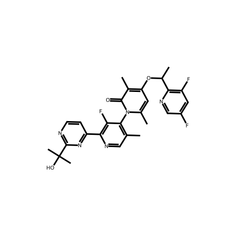 Cc1cnc(-c2ccnc(C(C)(C)O)n2)c(F)c1-n1c(C)cc(OC(C)c2ncc(F)cc2F)c(C)c1=O